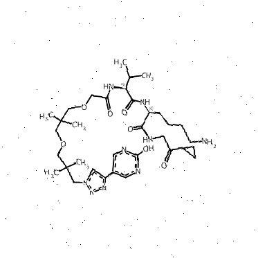 CC(C)[C@H](NC(=O)COCC(C)(C)COCC(C)(C)Cn1cc(-c2cnc(O)nc2)nn1)C(=O)N[C@@H](CCCCN)C(=O)NCC(=O)C1CC1